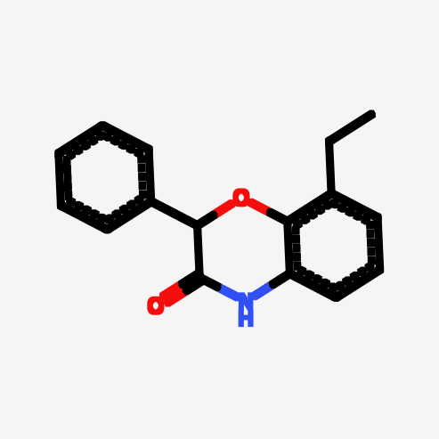 CCc1cccc2c1OC(c1ccccc1)C(=O)N2